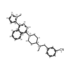 CN(Cc1cccc(C#N)c1)C1CCN(c2nnc(-c3ccnn3C)c3ccccc23)CC1